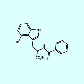 CCOC(=O)C(Cc1c[nH]c2cccc(Br)c12)NC(=O)c1ccccc1